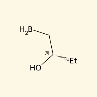 BC[C@@H](O)CC